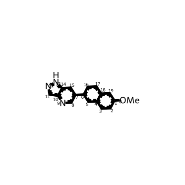 COc1ccc2cc(-c3cnc4cn[nH]c4c3)ccc2c1